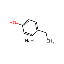 CCc1ccc(O)cc1.[NaH]